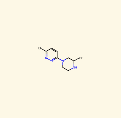 CCc1ccc(N2CCNC(C(C)C)C2)nn1